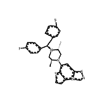 C[C@@H]1CN(c2cc3nncn3c3ccsc23)[C@@H](C)CN1C(c1ccc(F)cc1)c1ccc(F)cc1